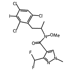 CON(C(=O)c1cn(C)nc1C(F)F)C(C)Cc1c(Cl)cc(Cl)c(I)c1Cl